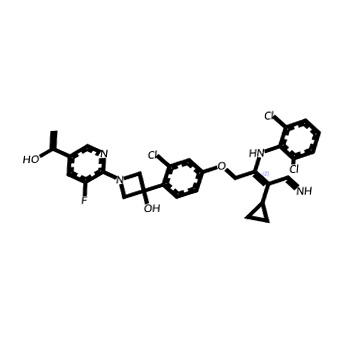 C=C(O)c1cnc(N2CC(O)(c3ccc(OC/C(Nc4c(Cl)cccc4Cl)=C(/C=N)C4CC4)cc3Cl)C2)c(F)c1